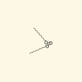 CCCCCCCCCCCCOC1COCC1OCCCCCCCCCCCC